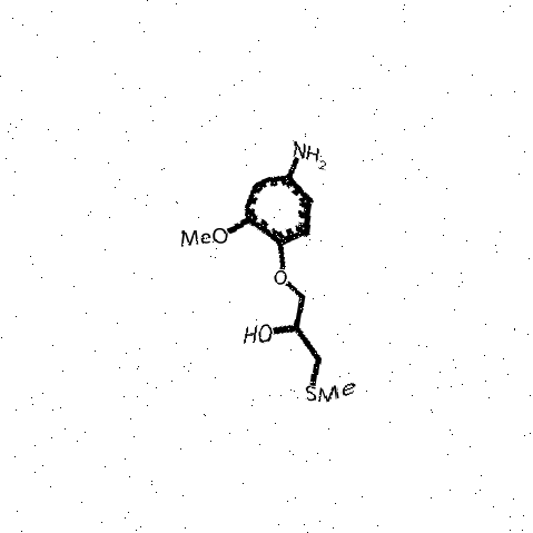 COc1cc(N)ccc1OCC(O)CSC